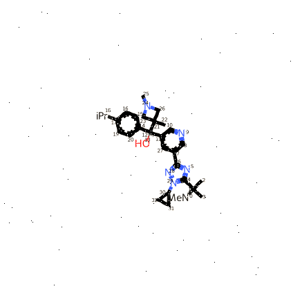 CNC(C)(C)c1nc(-c2cncc([C@@](O)(c3ccc(C(C)C)cc3)C3(C)CN(C)C3)c2)nn1C1CC1